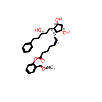 O=C(CCC/C=C\C[C@@H]1[C@@H](CC[C@@H](O)CCc2ccccc2)[C@H](O)C[C@@H]1O)Oc1ccccc1CO[N+](=O)[O-]